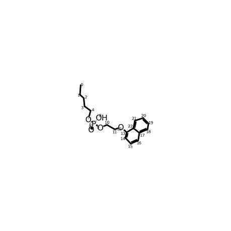 CCCCCOP(=O)(O)OCCOc1cccc2ccccc12